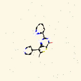 Cc1sc2c(O)nc(-c3ccccn3)nc2c1-c1ccncc1